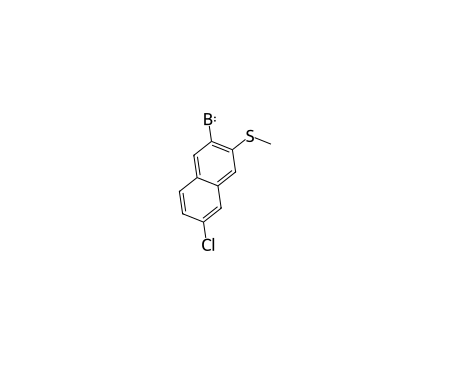 [B]c1cc2ccc(Cl)cc2cc1SC